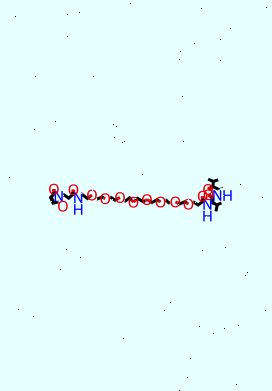 CC(C)C(=O)[C@H](C)NC(=O)[C@@H](NC(=O)CCOCCOCCOCCOCCOCCOCCOCCOCCNC(=O)CCN1C(=O)C=CC1=O)C(C)C